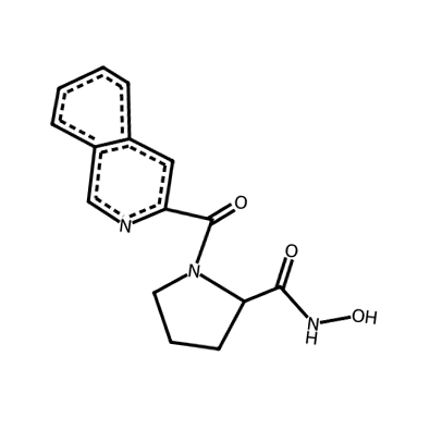 O=C(NO)C1CCCN1C(=O)c1cc2ccccc2cn1